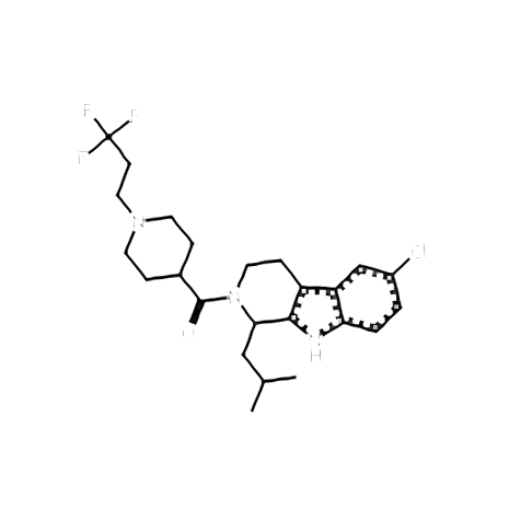 CC(C)CC1c2[nH]c3ccc(Cl)cc3c2CCN1C(=O)C1CCN(CCC(F)(F)F)CC1